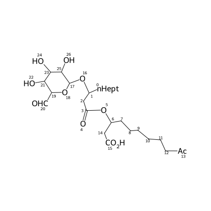 CCCCCCCC(CC(=O)OC(CCCCCCC(C)=O)CC(=O)O)OC1OC(C=O)C(O)C(O)C1O